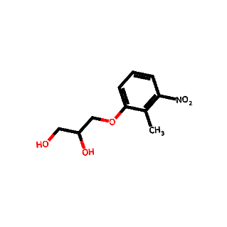 Cc1c(OCC(O)CO)cccc1[N+](=O)[O-]